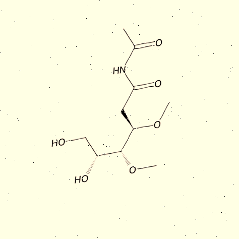 CO[C@H]([C@H](O)CO)[C@@H](CC(=O)NC(C)=O)OC